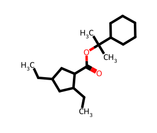 CCC1CC(CC)C(C(=O)OC(C)(C)C2CCCCC2)C1